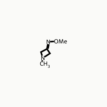 CON=C1CN(C)C1